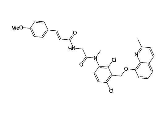 COc1ccc(/C=C/C(=O)NCC(=O)N(C)c2ccc(Cl)c(COc3cccc4ccc(C)nc34)c2Cl)cc1